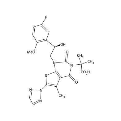 COc1ccc(F)cc1[C@@H](O)Cn1c(=O)n(C(C)(C)C(=O)O)c(=O)c2c(C)c(-n3nccn3)sc21